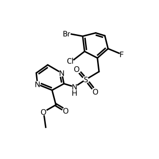 COC(=O)c1nccnc1NS(=O)(=O)Cc1c(F)ccc(Br)c1Cl